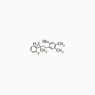 Cc1cc(CCC(C)(C)c2ccccc2F)c(C(C)(C)C)cc1C